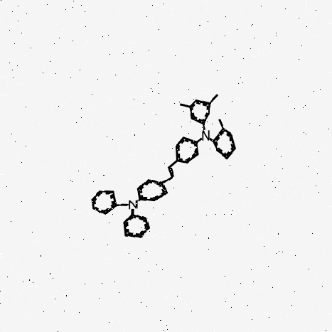 Cc1cc(C)cc(N(c2ccc(/C=C/c3ccc(N(c4ccccc4)c4ccccc4)cc3)cc2)c2ccccc2C)c1